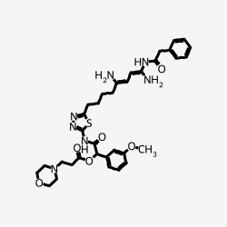 COc1cccc(C(OC(=O)CCN2CCOCC2)C(=O)Nc2nnc(CCCC/C(N)=C/C=C(\N)NC(=O)Cc3ccccc3)s2)c1